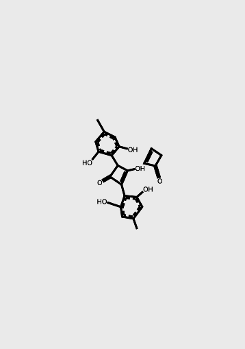 Cc1cc(O)c(C2=C(O)C(c3c(O)cc(C)cc3O)C2=O)c(O)c1.O=C1C=CC1